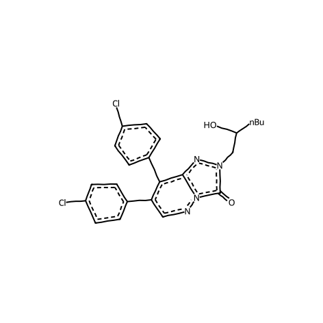 CCCCC(O)Cn1nc2c(-c3ccc(Cl)cc3)c(-c3ccc(Cl)cc3)cnn2c1=O